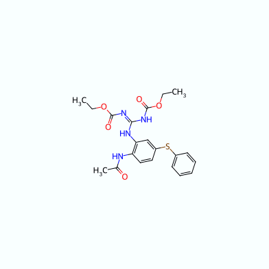 CCOC(=O)/N=C(/NC(=O)OCC)Nc1cc(Sc2ccccc2)ccc1NC(C)=O